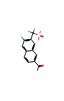 CC(=O)c1ccc2cc(Br)c(C(F)(F)P(=O)(O)O)cc2c1